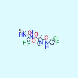 Cc1c(C(=O)C(=O)NC2(C(=O)NC3(C)CSC3)CC(F)(F)C2)c2n(c1C(=O)Nc1ccc(F)c(Cl)c1)CCC2